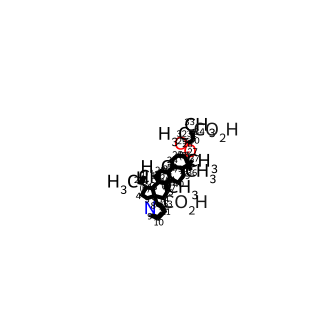 C=C(C)[C@@H]1CCC2(c3ncccc3C(=O)O)CC[C@]3(C)C(CCC4[C@@]5(C)CC[C@H](OC(=O)CC(C)(C)C(=O)O)C(C)(C)C5CC[C@]43C)C12